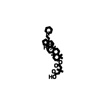 CC(C)(CC(=O)O)CC(=O)O[C@H]1CC[C@@]2(C)C(CC[C@]3(C)C2CC[C@@H]2[C@H]4CCC[C@]4(CCN4CCCCC4)CC[C@]23C)C1(C)C